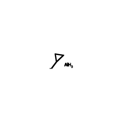 [AlH3].[CH2]C1CC1